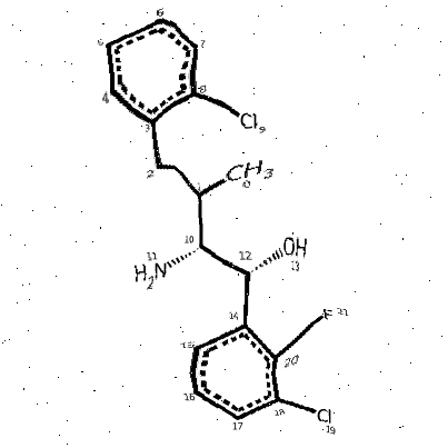 CC(Cc1ccccc1Cl)[C@@H](N)[C@H](O)c1cccc(Cl)c1F